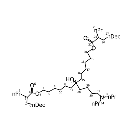 CCCCCCCCCCCC(CCC)C(=O)OCCCCCCC(O)(CCCCCCOC(=O)C(CCC)CCCCCCCCCCC)CCCCN(CCC)CCC